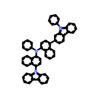 c1ccc(N(c2ccc(-c3ccc4c5ccccc5n(-c5ccccc5)c4c3)c3ccccc23)c2ccc(-n3c4ccccc4c4ccccc43)c3ccccc23)cc1